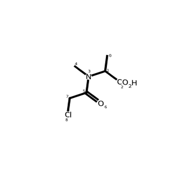 CC(C(=O)O)N(C)C(=O)CCl